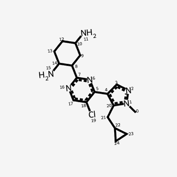 Cn1ncc(-c2nc(C3CC(N)CCC3N)ncc2Cl)c1CC1CC1